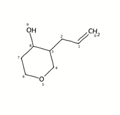 C=CCC1COCCC1O